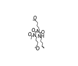 C=CCCCNC(=O)N(CCCC1CO1)C(=O)N(CCCC1CO1)C(C)=O